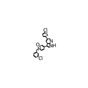 O=c1cc(-c2c[nH]c3ncc(-c4ccc(Cl)s4)cc23)ccn1Cc1cccc(Cl)c1